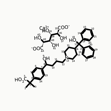 CC(C)(C(=O)O)c1ccc(C(O)CCCN2CCC(C(O)(c3ccccc3)c3ccccc3)CC2)cc1.O=C([O-])[C@@H](O)[C@@H](O)[C@H](O)[C@@H](O)C(=O)[O-].[Ca+2]